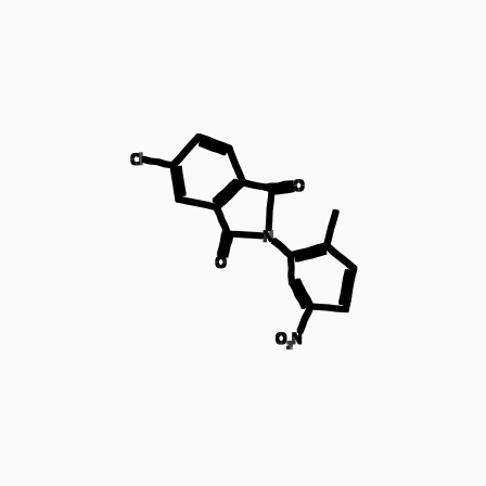 Cc1ccc([N+](=O)[O-])cc1N1C(=O)c2ccc(Cl)cc2C1=O